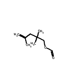 C=C(C)CC(C)(C)COC=O